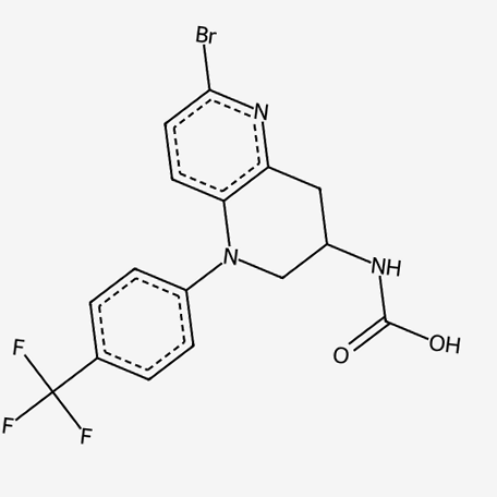 O=C(O)NC1Cc2nc(Br)ccc2N(c2ccc(C(F)(F)F)cc2)C1